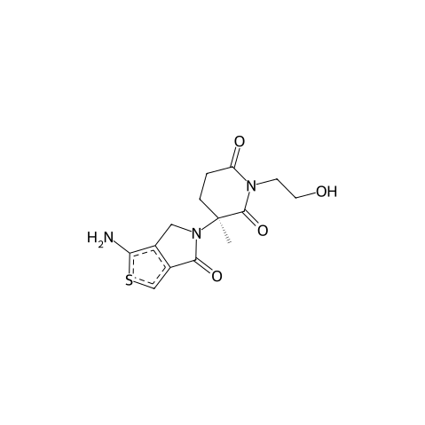 C[C@]1(N2Cc3c(csc3N)C2=O)CCC(=O)N(CCO)C1=O